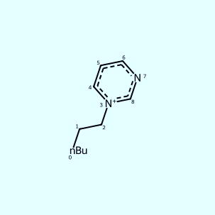 CCCCCC[n+]1cccnc1